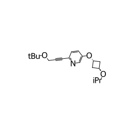 CC(C)O[C@H]1C[C@H](Oc2ccc(C#CCOC(C)(C)C)nc2)C1